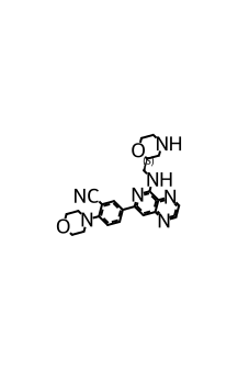 N#Cc1cc(-c2cc3nccnc3c(NC[C@@H]3CNCCO3)n2)ccc1N1CCOCC1